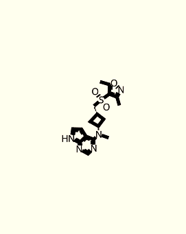 Cc1noc(C)c1S(=O)(=O)C[C@H]1C[C@@H](N(C)c2ncnc3[nH]ccc23)C1